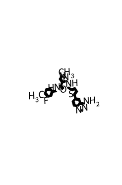 Cc1ccc(CNC(=O)c2cn(C)nc2NCc2ccc(-c3ccc4ncnc(N)c4c3)s2)cc1F